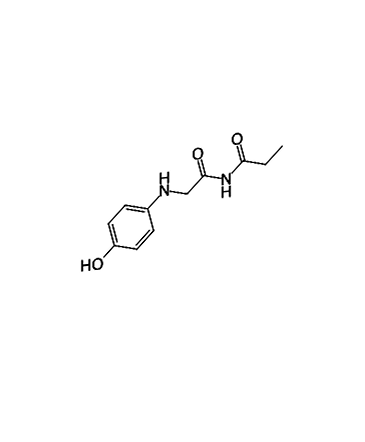 CCC(=O)NC(=O)CNc1ccc(O)cc1